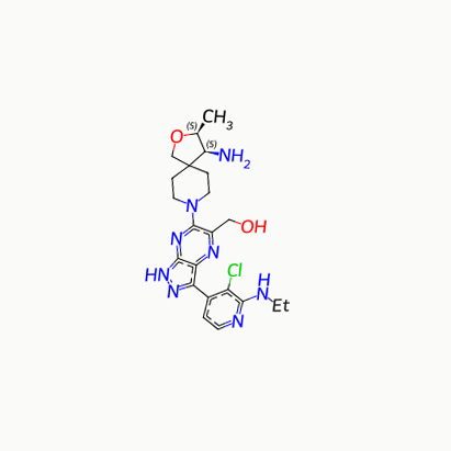 CCNc1nccc(-c2n[nH]c3nc(N4CCC5(CC4)CO[C@@H](C)[C@H]5N)c(CO)nc23)c1Cl